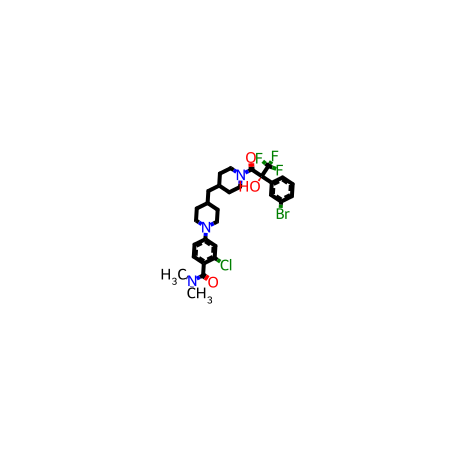 CN(C)C(=O)c1ccc(N2CCC(CC3CCN(C(=O)[C@](O)(c4cccc(Br)c4)C(F)(F)F)CC3)CC2)cc1Cl